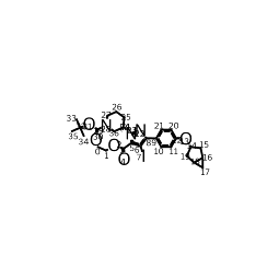 CCOC(=O)c1c(I)c(-c2ccc(OC3CC4CC4C3)cc2)nn1[C@@H]1CCCN(C(=O)OC(C)(C)C)C1